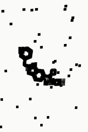 O=C(NO)c1ccc2cn(Cc3cccnc3)nc2c1